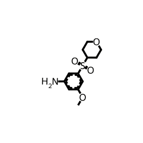 COc1cc(N)cc(S(=O)(=O)C2CCOCC2)c1